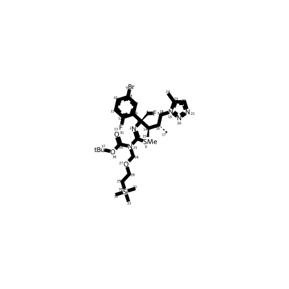 CS/C(=N\[C@](CF)(c1cc(Br)ccc1F)[C@H](C)[C@@H](C)Cn1nncc1C)N(COCC[Si](C)(C)C)C(=O)OC(C)(C)C